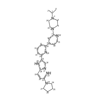 CC(C)N1CCN(c2cc(-c3cccc(-c4cnc(/C=C\C(=N)N5CCCC5)[nH]4)n3)ccn2)CC1